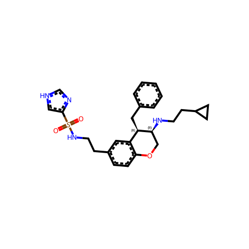 O=S(=O)(NCCc1ccc2c(c1)[C@@H](Cc1ccccc1)[C@@H](NCCC1CC1)CO2)c1c[nH]cn1